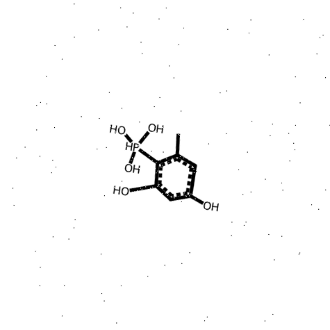 Cc1cc(O)cc(O)c1[PH](O)(O)O